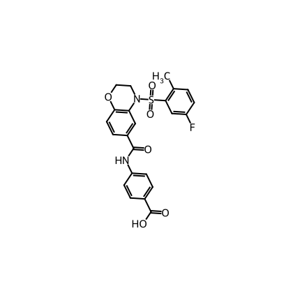 Cc1ccc(F)cc1S(=O)(=O)N1CCOc2ccc(C(=O)Nc3ccc(C(=O)O)cc3)cc21